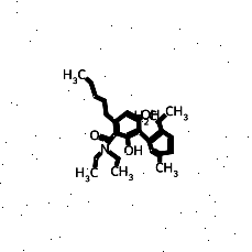 C=C(C)c1ccc(C)cc1-c1c(O)cc(CCCCC)c(C(=O)N(CC)CC)c1O